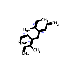 C=C/C=C(CC(/C=C\NC)=C(\C)C=C)\C(C)=C/C